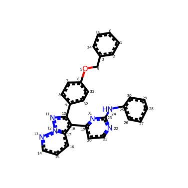 c1ccc(COc2ccc(-c3nn4ncccc4c3-c3ccnc(Nc4ccccc4)n3)cc2)cc1